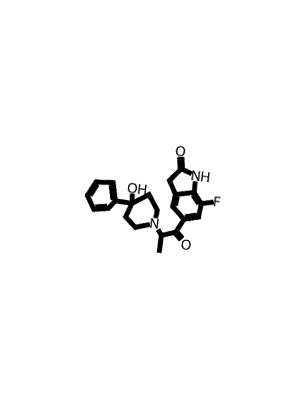 CC(C(=O)c1cc(F)c2c(c1)CC(=O)N2)N1CCC(O)(c2ccccc2)CC1